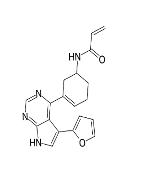 C=CC(=O)NC1CCC=C(c2ncnc3[nH]cc(-c4ccco4)c23)C1